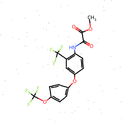 COC(=O)C(=O)Nc1ccc(Oc2ccc(OC(F)(F)F)cc2)cc1C(F)(F)F